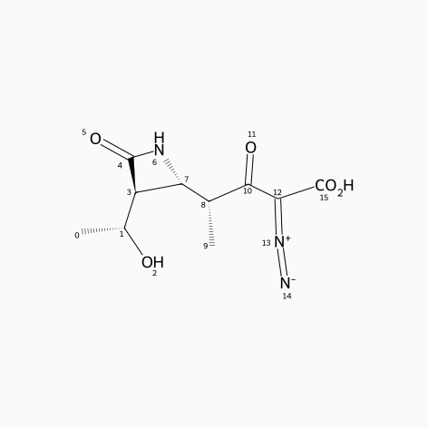 C[C@@H](O)[C@H]1C(=O)N[C@@H]1[C@@H](C)C(=O)C(=[N+]=[N-])C(=O)O